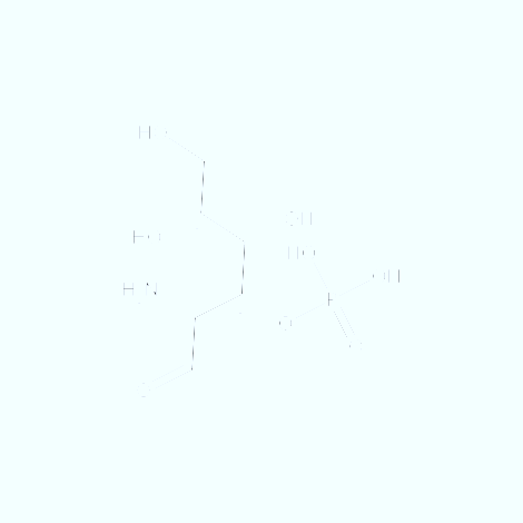 N[C@@H](C=O)[C@@H](OP(=O)(O)O)[C@@H](O)[C@H](O)CO